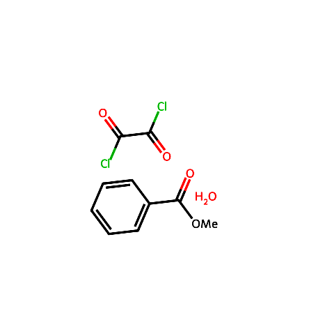 COC(=O)c1ccccc1.O.O=C(Cl)C(=O)Cl